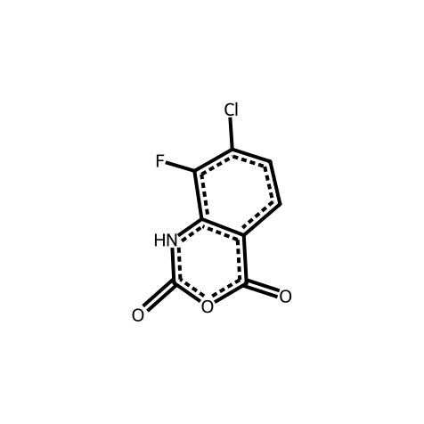 O=c1[nH]c2c(F)c(Cl)ccc2c(=O)o1